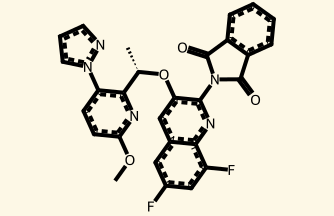 COc1ccc(-n2cccn2)c([C@H](C)Oc2cc3cc(F)cc(F)c3nc2N2C(=O)c3ccccc3C2=O)n1